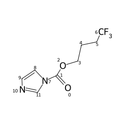 O=C(OCCCC(F)(F)F)n1ccnc1